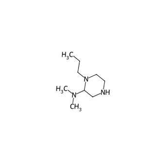 CCCN1CCNCC1N(C)C